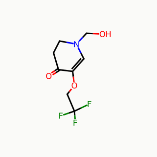 O=C1CCN(CO)C=C1OCC(F)(F)F